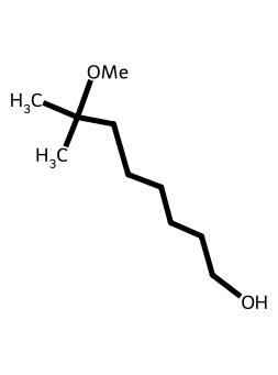 COC(C)(C)CCCCCCO